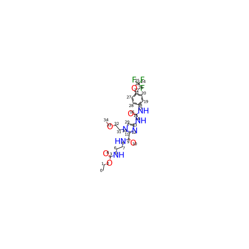 CCOC(=O)NCCNC(=O)c1nc(NC(=O)Nc2ccc(OC(F)(F)F)cc2)cn1CCOC